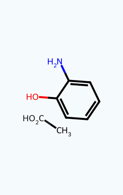 CC(=O)O.Nc1ccccc1O